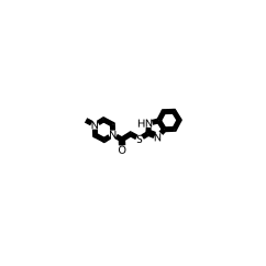 CN1CCN(C(=O)CSC2=NC3CCCCC3N2)CC1